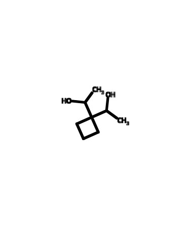 CC(O)C1(C(C)O)CCC1